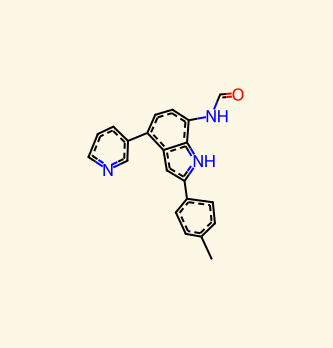 Cc1ccc(-c2cc3c(-c4cccnc4)ccc(NC=O)c3[nH]2)cc1